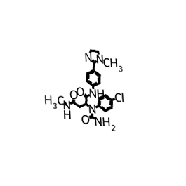 CNC(=O)CC(C(=O)Nc1ccc(C2=NCCN2C)cc1)N(C(N)=O)c1ccc(Cl)cc1